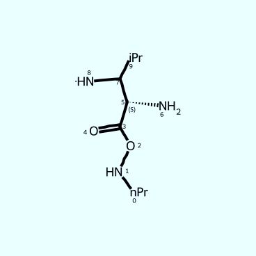 CCCNOC(=O)[C@@H](N)C([NH])C(C)C